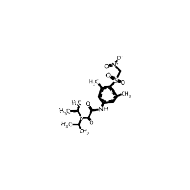 Cc1cc(NC(=O)C(=O)N(C(C)C)C(C)C)cc(C)c1S(=O)(=O)C[N+](=O)[O-]